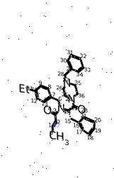 C/C=C/C(=O)N(Cc1ccc(CC)cc1)[C@@H](Cc1ccccc1)C(=O)N1CCN(Cc2ccccc2)CC1